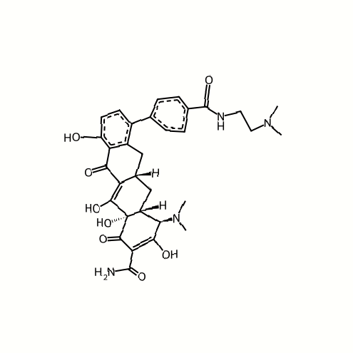 CN(C)CCNC(=O)c1ccc(-c2ccc(O)c3c2C[C@@H]2C[C@@H]4[C@@H](N(C)C)C(O)=C(C(N)=O)C(=O)[C@@]4(O)C(O)=C2C3=O)cc1